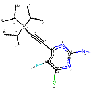 CC(C)[Si](C#Cc1nc(N)nc(Cl)c1F)(C(C)C)C(C)C